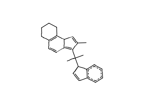 CC1=CC2C(=C1C(C)(C)C1C=Cc3ccccc31)C=CC1=C2CCCC1